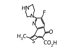 CC1=C2C(=C(C(=O)O)C(=O)c3cc(F)c(N4CCNCC4)nc32)S1